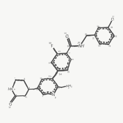 Nc1ncc(C2CCNC(=O)C2)cc1-c1ccc(C(=O)NCc2cccc(Cl)c2)c(F)c1